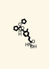 Cc1cc(/C=C/C(=O)NO)ccc1CNC1(C(=O)OC2CCCC2)CCCC1